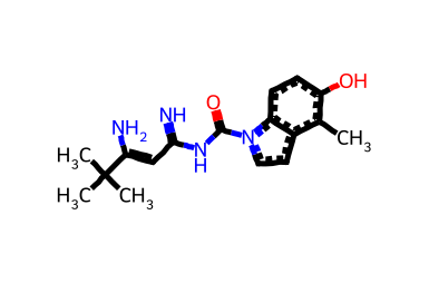 Cc1c(O)ccc2c1ccn2C(=O)NC(=N)/C=C(\N)C(C)(C)C